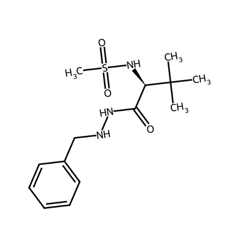 CC(C)(C)[C@H](NS(C)(=O)=O)C(=O)NNCc1ccccc1